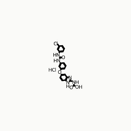 Cl.O=C(O)Nc1nc2cc(Oc3cccc(NC(=O)Nc4cccc(Cl)c4)c3)ccc2[nH]1